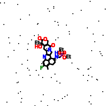 CCOP(=O)(CN[C@H]1CCc2c(C)c(F)cc3nc4c(c1c23)CN1C(=O)C2=C(CC41)[C@@](O)(CC)C(=O)OC2)OCC